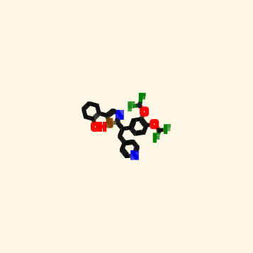 OC1CCCCC1c1cnc(C(Cc2ccncc2)c2ccc(OC(F)F)c(OC(F)F)c2)s1